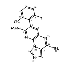 CNc1nc2c(cc1-c1c(C)cccc1Cl)nc(N)c1cncn12